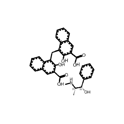 CN[C@@H](C)[C@@H](O)c1ccccc1.O=C(O)c1cc2ccccc2c(Cc2c(O)c(C(=O)O)cc3ccccc23)c1O